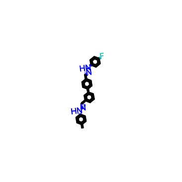 Cc1ccc(N/N=C/c2cccc(-c3ccc(/C=N/Nc4ccc(F)cc4)cc3)c2)cc1